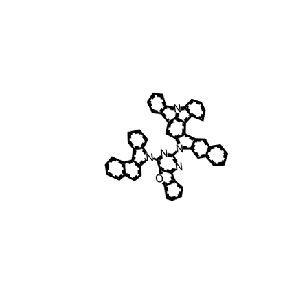 c1ccc2cc3c(cc2c1)c1c2c4ccccc4n4c5ccccc5c(cc1n3-c1nc(-n3c5ccccc5c5c6ccccc6ccc53)c3oc5ccccc5c3n1)c24